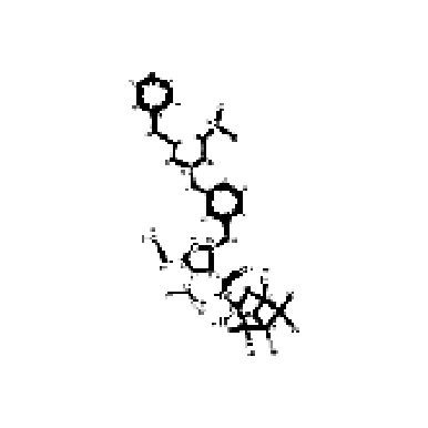 C[C@@H]1[C@@H](NC(=O)[C@@H]2[C@H]([C@H](C)O)[C@H](CO)ON2Cc2cccc(CN(CCCc3ccccc3)CCN(C)C)c2)C[C@H]2C[C@@H]1C2(C)C